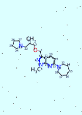 C[C@H](COCc1nn(C)c2nc(N3CCCCCC3)ccc12)CN1CCCC1